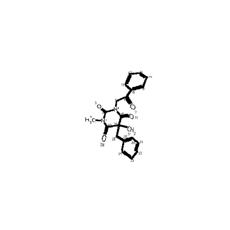 CN1C(=O)N(CC(=O)c2ccccc2)C(=O)C(C)(Cc2ccccc2)C1=O